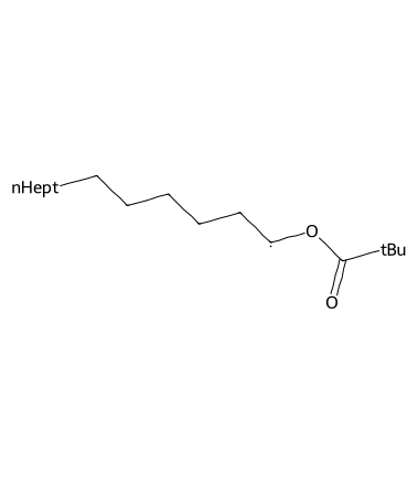 CCCCCCCCCCCC[CH]OC(=O)C(C)(C)C